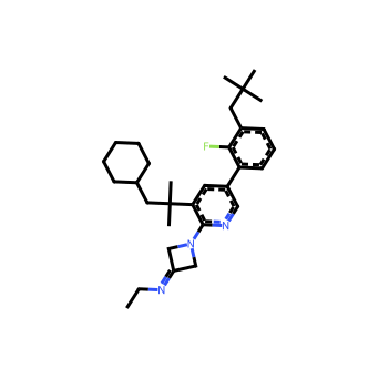 CCN=C1CN(c2ncc(-c3cccc(CC(C)(C)C)c3F)cc2C(C)(C)CC2CCCCC2)C1